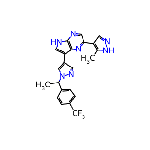 Cc1[nH]ncc1-c1cnc2[nH]cc(-c3cnn(C(C)c4ccc(C(F)(F)F)cc4)c3)c2n1